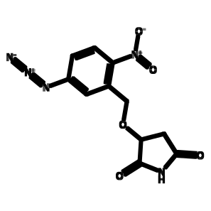 [N-]=[N+]=Nc1ccc([N+](=O)[O-])c(COC2CC(=O)NC2=O)c1